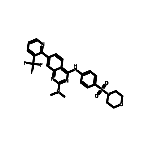 CN(C)c1nc(Nc2ccc(S(=O)(=O)N3CCOCC3)cc2)c2ccc(-c3ncccc3C(F)(F)F)cc2n1